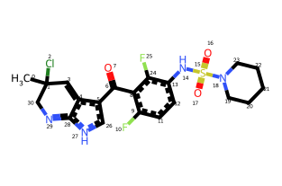 CC1(Cl)C=c2c(C(=O)c3c(F)ccc(NS(=O)(=O)N4CCCCC4)c3F)c[nH]c2=NC1